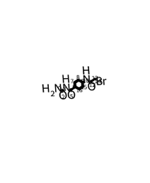 NC(=O)NC(=O)c1ccc(NC(=O)CBr)cc1